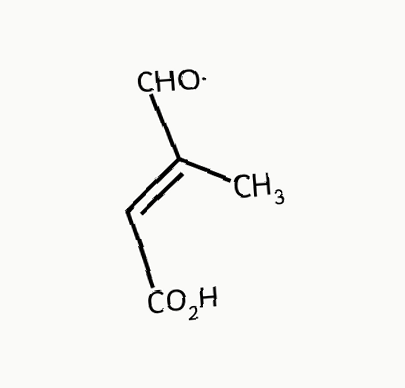 C/C([C]=O)=C\C(=O)O